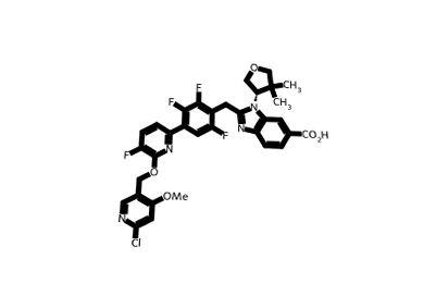 COc1cc(Cl)ncc1COc1nc(-c2cc(F)c(Cc3nc4ccc(C(=O)O)cc4n3[C@@H]3COCC3(C)C)c(F)c2F)ccc1F